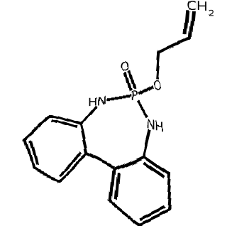 C=CCOP1(=O)Nc2ccccc2-c2ccccc2N1